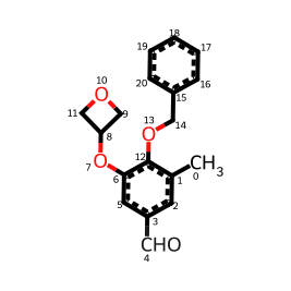 Cc1cc(C=O)cc(OC2COC2)c1OCc1ccccc1